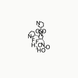 CN(Cc1cn(S(=O)(=O)c2cccnc2)c(-c2cccnc2F)c1F)C(=O)O